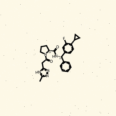 Cc1nnc(CC(=O)N2CCC[C@H]2C(=O)N[C@@H](c2ccccc2)c2ccc(C3CC3)c(F)c2)[nH]1